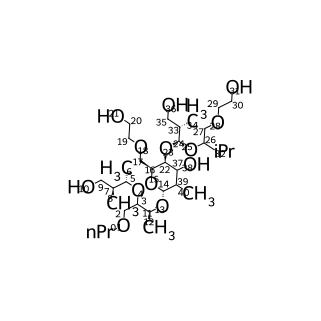 CCCOCC(O[C@@H](C)[C@@H](C)CO)[C@H](C)O[C@@H]1O[C@@H](COCCO)[C@@H](O[C@H](OC(COCCO)C(C)C)[C@@H](C)CO)C(O)C1C